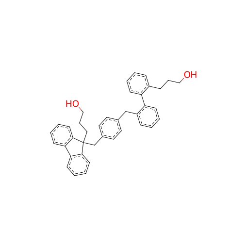 OCCCc1ccccc1-c1ccccc1Cc1ccc(CC2(CCCO)c3ccccc3-c3ccccc32)cc1